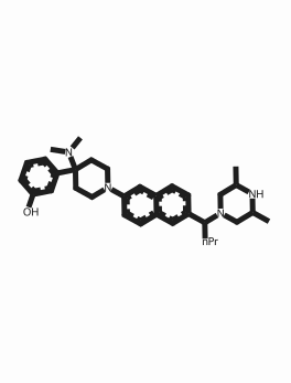 CCCC(c1ccc2cc(N3CCC(c4cccc(O)c4)(N(C)C)CC3)ccc2c1)N1CC(C)NC(C)C1